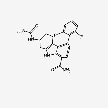 NC(=O)NC1CCc2c([nH]c3c(C(N)=O)ccc(-c4c(F)cccc4F)c23)C1